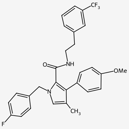 COc1ccc(-c2c(C)cn(Cc3ccc(F)cc3)c2C(=O)NCCc2cccc(C(F)(F)F)c2)cc1